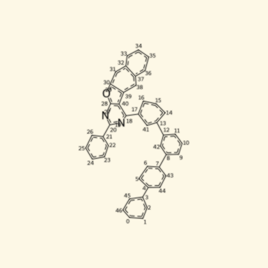 c1ccc(-c2ccc(-c3cccc(-c4cccc(-c5nc(-c6ccccc6)nc6oc7cc8ccccc8cc7c56)c4)c3)cc2)cc1